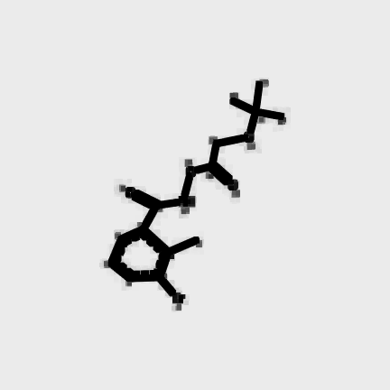 Cc1c(Br)cccc1C(=O)NOC(=O)COC(C)(C)C